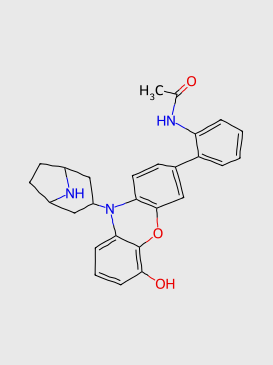 CC(=O)Nc1ccccc1-c1ccc2c(c1)Oc1c(O)cccc1N2C1CC2CCC(C1)N2